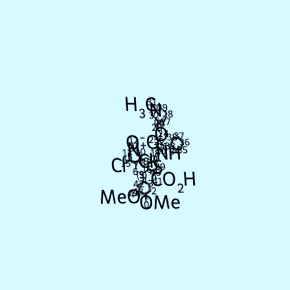 COc1ccc([C@H](Cc2c(Cl)c[n+]([O-])cc2Cl)c2cc(CNC(C(=O)OC[C@@H]3CCCN(C)C3)c3ccccc3)sc2C(=O)O)cc1OC